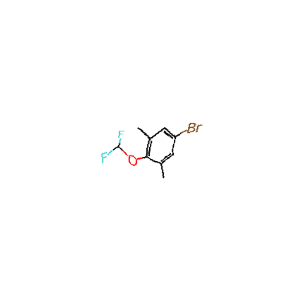 Cc1cc(Br)cc(C)c1OC(F)F